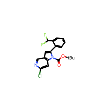 CC(C)(C)OC(=O)n1c(-c2ccccc2C(F)F)cc2cnc(Cl)cc21